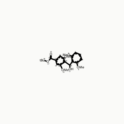 COc1cccc(OC)c1C(O)c1c(OC)cc(C(=O)OC(C)(C)C)cc1OC